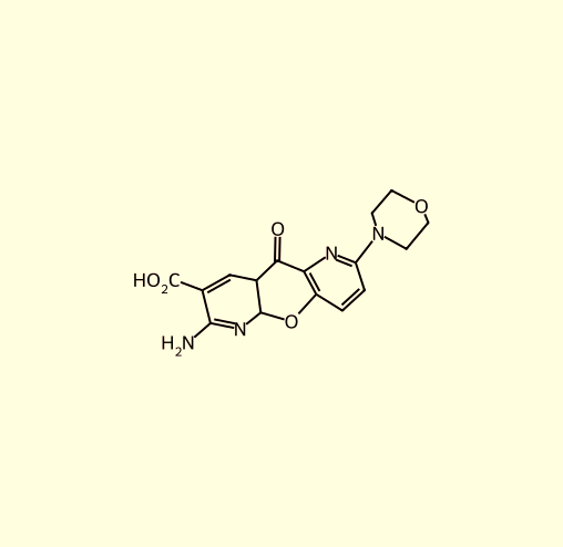 NC1=NC2Oc3ccc(N4CCOCC4)nc3C(=O)C2C=C1C(=O)O